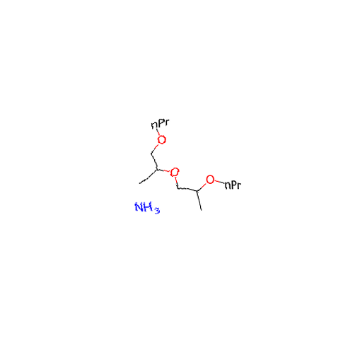 CCCOCC(C)OCC(C)OCCC.N